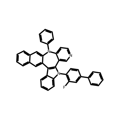 Fc1cc(-c2ccccc2)ccc1-n1c2c(c3ccccc31)-c1cc3ccccc3cc1N(c1ccccc1)c1ccncc1-2